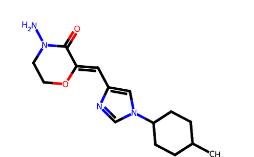 CC1CCC(n2cnc(/C=C3\OCCN(N)C3=O)c2)CC1